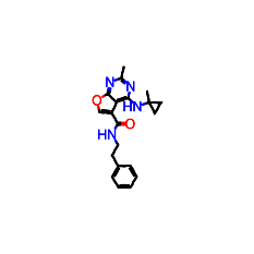 Cc1nc(NC2(C)CC2)c2c(C(=O)NCCc3ccccc3)coc2n1